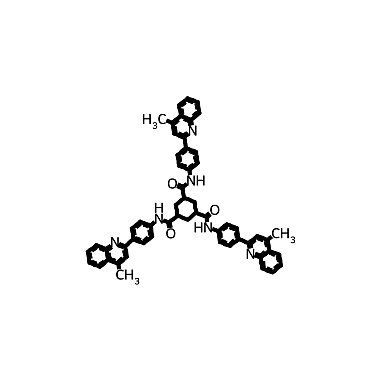 Cc1cc(-c2ccc(NC(=O)C3CC(C(=O)Nc4ccc(-c5cc(C)c6ccccc6n5)cc4)CC(C(=O)Nc4ccc(-c5cc(C)c6ccccc6n5)cc4)C3)cc2)nc2ccccc12